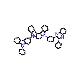 c1ccc(-c2nc3ccccc3nc2-c2cccc(-n3c4ccccc4c4c5c6ccccc6n(-c6ccc7c(c6)c6ccccc6n7-c6ccccc6)c5ccc43)c2)cc1